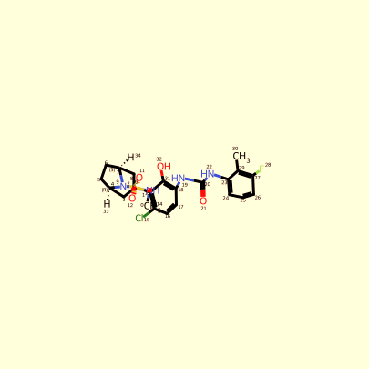 CNC1C[C@H]2CC[C@@H](C1)N2S(=O)(=O)c1c(Cl)ccc(NC(=O)Nc2cccc(F)c2C)c1O